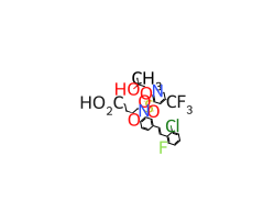 C[C@H](O)COc1ncc(C(F)(F)F)cc1S(=O)(=O)N1C[C@H](CCC(=O)O)Oc2ccc(/C=C/c3c(F)cccc3Cl)cc21